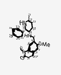 COc1cc2c(cc1CN[C@H]1CC[C@H](C)N[C@H]1c1ccccc1)N(C)C(=O)CC2